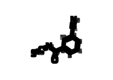 N#Cc1cccc(C(=O)N=C=S)c1